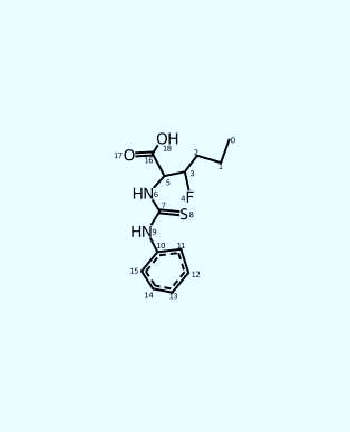 CCCC(F)C(NC(=S)Nc1ccccc1)C(=O)O